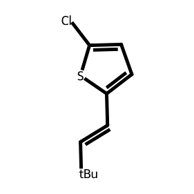 CC(C)(C)/C=C/c1ccc(Cl)s1